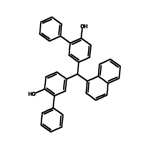 Oc1ccc(C(c2ccc(O)c(-c3ccccc3)c2)c2cccc3ccccc23)cc1-c1ccccc1